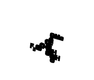 COCCOc1cccc(-n2nc(NC(=O)[C@@H]3CNC(=O)C3)cc2-c2cccc(OC(F)(F)F)c2)c1F